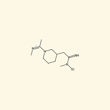 CCN(C)C(=N)CC1CCCN(/C(C)=N\C)C1